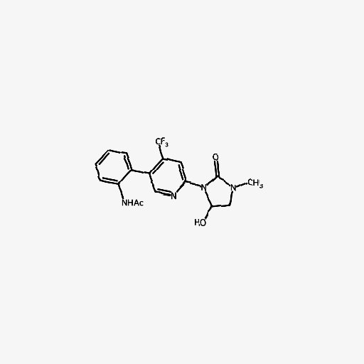 CC(=O)Nc1ccccc1-c1cnc(N2C(=O)N(C)CC2O)cc1C(F)(F)F